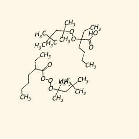 CCCCC(CC)(OOC(C)(C)CC(C)(C)C)C(=O)O.CCCCC(CC)C(=O)OOOC(C)(C)CC(C)(C)C